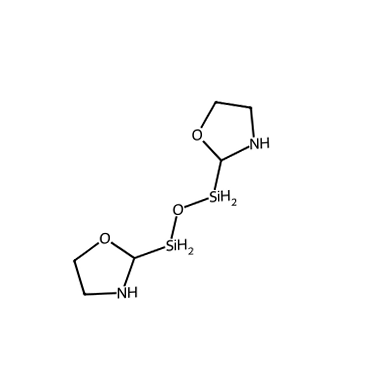 C1COC([SiH2]O[SiH2]C2NCCO2)N1